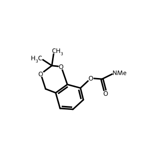 CNC(=O)Oc1cccc2c1OC(C)(C)OC2